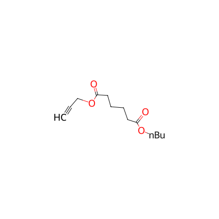 C#CCOC(=O)CCCCC(=O)OCCCC